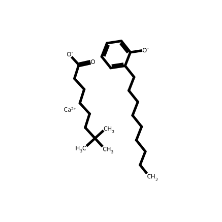 CC(C)(C)CCCCCC(=O)[O-].CCCCCCCCCc1ccccc1[O-].[Ca+2]